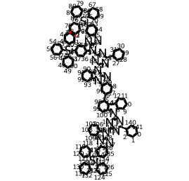 c1ccc(-c2nc(-n3c4ccccc4c4c(-c5ccc6nc7n(-c8nc(-c9ccccc9)nc(-n9c%10ccc([Si](c%11ccccc%11)(c%11ccccc%11)c%11ccccc%11)cc%10n%10c%11cc([Si](c%12ccccc%12)(c%12ccccc%12)c%12ccccc%12)ccc%11nc9%10)n8)c8ccccc8n7c6c5)cccc43)nc(-n3c4ccccc4n4c5cc([Si](c6ccccc6)(c6ccccc6)c6ccccc6)ccc5nc34)n2)cc1